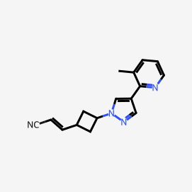 Cc1cccnc1-c1cnn(C2CC(C=CC#N)C2)c1